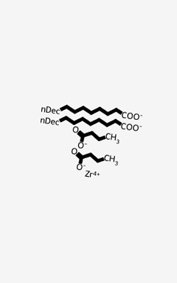 CCCC(=O)[O-].CCCC(=O)[O-].CCCCCCCCCCCCCCCCCC(=O)[O-].CCCCCCCCCCCCCCCCCC(=O)[O-].[Zr+4]